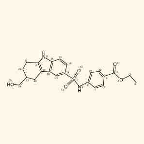 CCOC(=O)c1ccc(NS(=O)(=O)c2ccc3[nH]c4c(c3c2)CC(CO)CC4)cc1